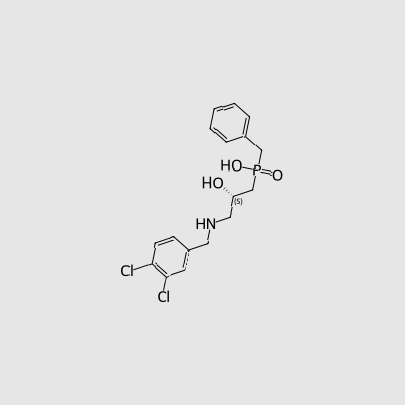 O=P(O)(Cc1ccccc1)C[C@@H](O)CNCc1ccc(Cl)c(Cl)c1